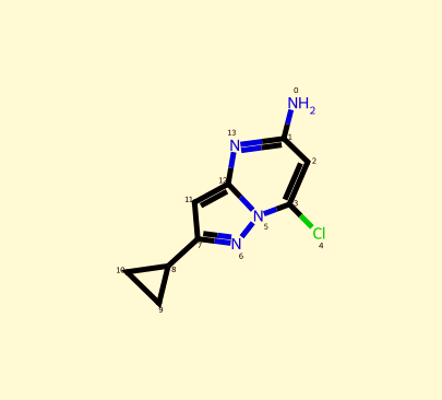 Nc1cc(Cl)n2nc(C3CC3)cc2n1